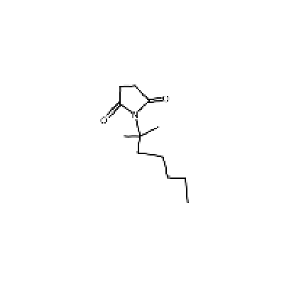 CCCCCC(C)(C)N1C(=O)CCC1=O